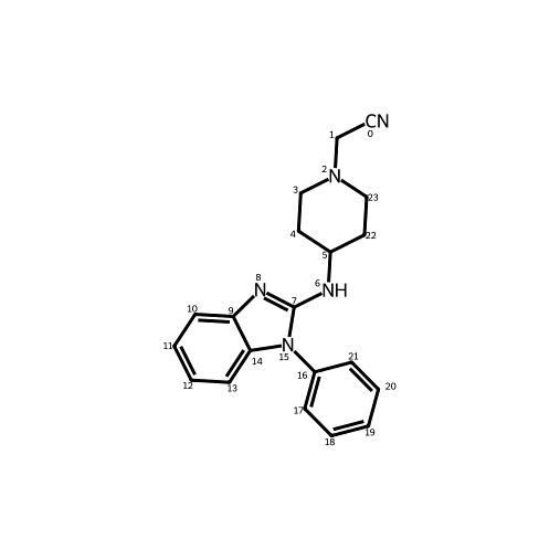 N#CCN1CCC(Nc2nc3ccccc3n2-c2ccccc2)CC1